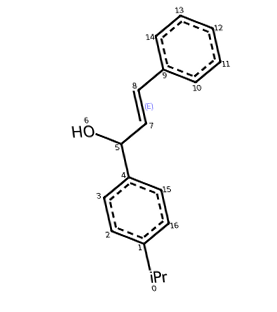 CC(C)c1ccc(C(O)/C=C/c2ccccc2)cc1